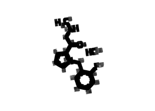 CNCC(=O)c1cccn1Cc1ccccc1F.Cl